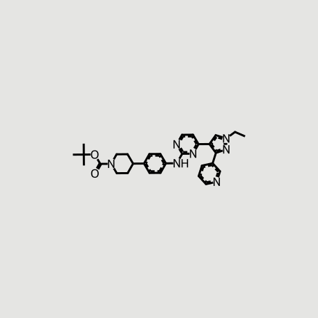 CCn1cc(-c2ccnc(Nc3ccc(C4CCN(C(=O)OC(C)(C)C)CC4)cc3)n2)c(-c2cccnc2)n1